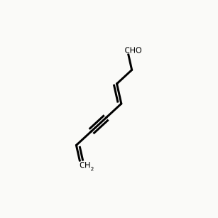 C=CC#CC=CCC=O